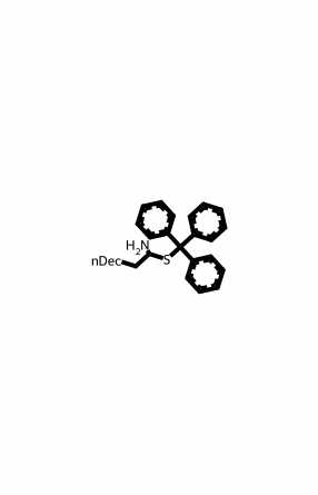 CCCCCC[CH]CCCCC(N)SC(c1ccccc1)(c1ccccc1)c1ccccc1